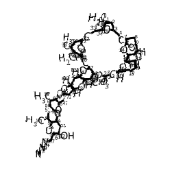 C=C1CC2CC[C@]34CCC(O3)[C@H]3C[C@@H](O4)[C@H]4O[C@H](CC[C@@H]4O3)CC(=O)O[C@H]3C(C[C@H]4OC(CC[C@@H]1O2)C[C@@H](C)C4=C)O[C@H]1C[C@H]2O[C@@]4(CC5O[C@]6(C[C@H](C)C7OC(CN=[N+]=[N-])[C@H](O)CC7O6)C[C@H](C)C5O4)C[C@H]2O[C@H]1[C@@H]3C